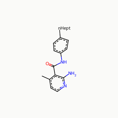 CCCCCCCc1ccc(NC(=O)c2c(C)ccnc2N)cc1